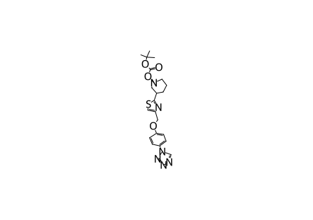 CC(C)(C)OC(=O)ON1CCCC(c2nc(COc3ccc(-n4cnnn4)cc3)cs2)C1